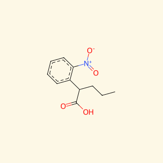 CCCC(C(=O)O)c1ccccc1[N+](=O)[O-]